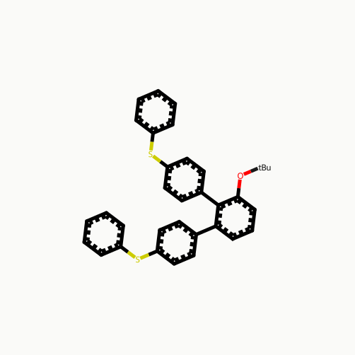 CC(C)(C)Oc1cc[c]c(-c2ccc(Sc3ccccc3)cc2)c1-c1ccc(Sc2ccccc2)cc1